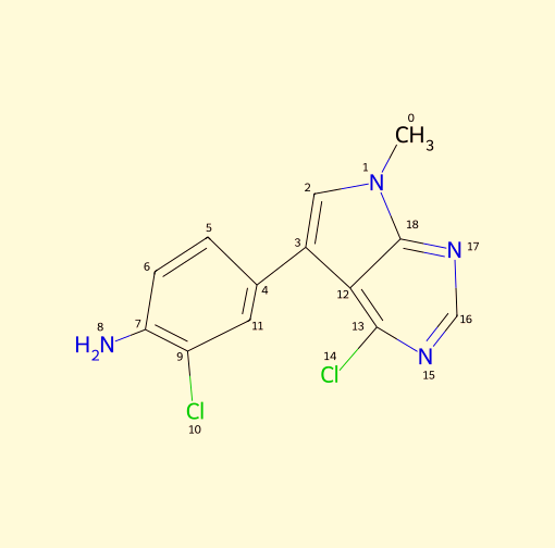 Cn1cc(-c2ccc(N)c(Cl)c2)c2c(Cl)ncnc21